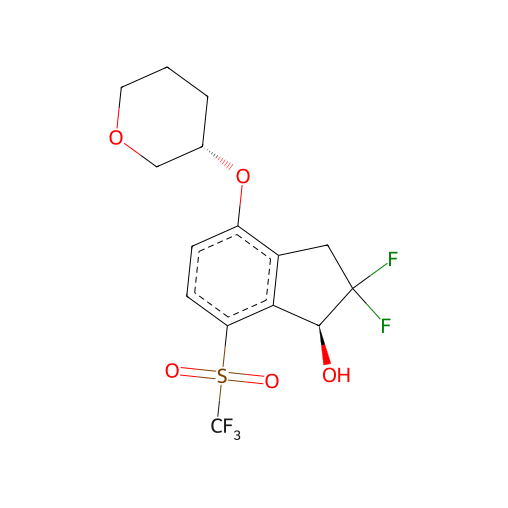 O=S(=O)(c1ccc(O[C@H]2CCCOC2)c2c1[C@H](O)C(F)(F)C2)C(F)(F)F